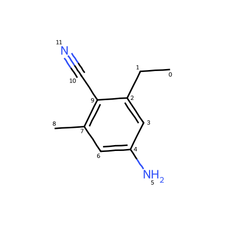 CCc1cc(N)cc(C)c1C#N